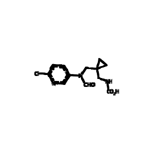 O=CN(CC1(CNC(=O)O)CC1)c1ccc(Cl)nc1